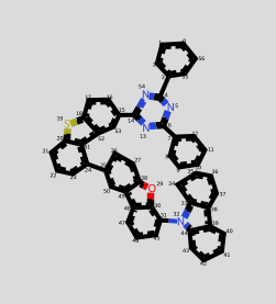 c1ccc(-c2nc(-c3ccccc3)nc(-c3ccc4sc5cccc(-c6ccc7oc8c(-n9c%10ccccc%10c%10ccccc%109)cccc8c7c6)c5c4c3)n2)cc1